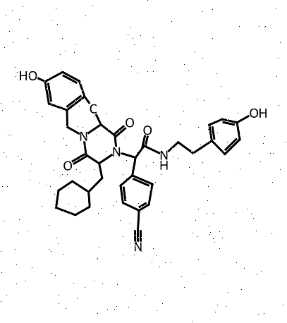 N#Cc1ccc(C(C(=O)NCCc2ccc(O)cc2)N2C(=O)C3Cc4ccc(O)cc4CN3C(=O)C2CC2CCCCC2)cc1